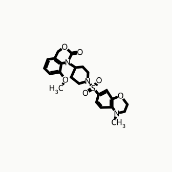 COc1cccc2c1N(C1CCN(S(=O)(=O)c3ccc4c(c3)OCCN4C)CC1)C(=O)OC2